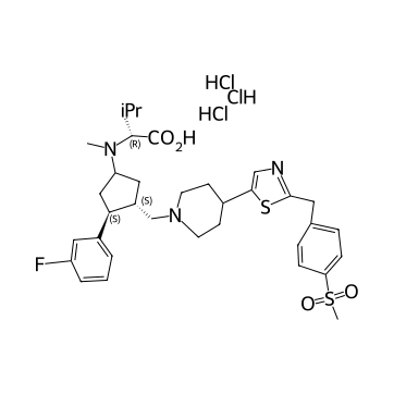 CC(C)[C@H](C(=O)O)N(C)C1C[C@H](CN2CCC(c3cnc(Cc4ccc(S(C)(=O)=O)cc4)s3)CC2)[C@@H](c2cccc(F)c2)C1.Cl.Cl.Cl